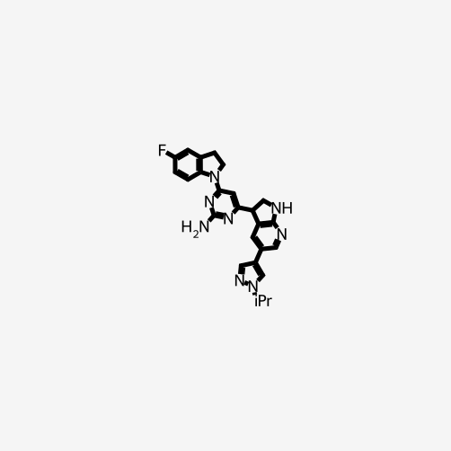 CC(C)n1cc(-c2cnc3c(c2)C(c2cc(N4CCc5cc(F)ccc54)nc(N)n2)CN3)cn1